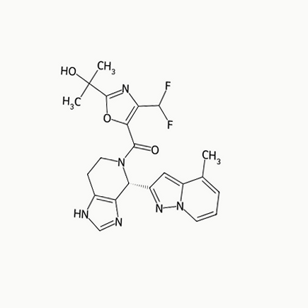 Cc1cccn2nc([C@@H]3c4nc[nH]c4CCN3C(=O)c3oc(C(C)(C)O)nc3C(F)F)cc12